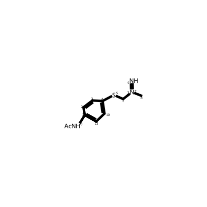 CC(=O)Nc1ccc(SC[N+](C)=N)cc1